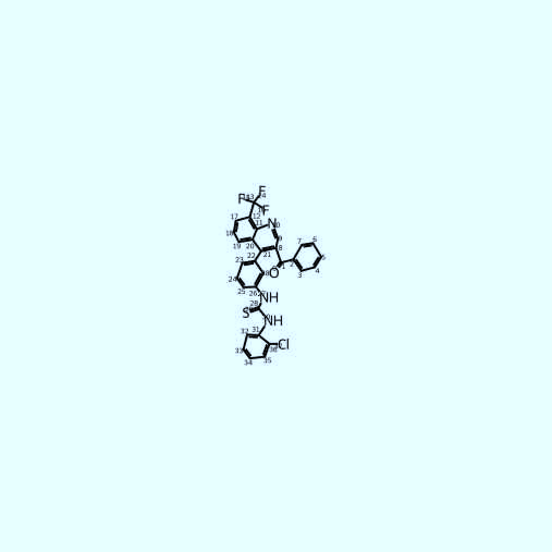 O=C(c1ccccc1)c1cnc2c(C(F)(F)F)cccc2c1-c1cccc(NC(=S)Nc2ccccc2Cl)c1